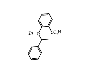 CC(Oc1ccccc1C(=O)O)c1ccccc1.[Zn]